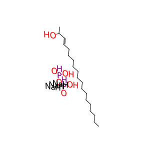 CCCCCCCCCCCCCCCC=CC(C)O.O=[PH](O)O[PH](=O)O.[NaH].[NaH].[NaH]